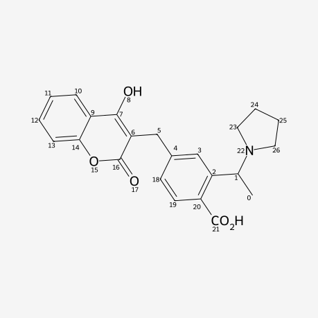 CC(c1cc(Cc2c(O)c3ccccc3oc2=O)ccc1C(=O)O)N1CCCC1